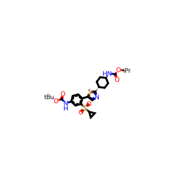 CC(C)OC(=O)N[C@H]1CC[C@H](c2ncc(-c3ccc(NC(=O)OC(C)(C)C)cc3S(=O)(=O)C3CC3)s2)CC1